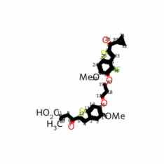 COc1cc2cc(C(=O)C[C@H](C)C(=O)O)sc2cc1OCCCOc1c(OC)cc2sc(C(=O)C3CC3)cc2c1F